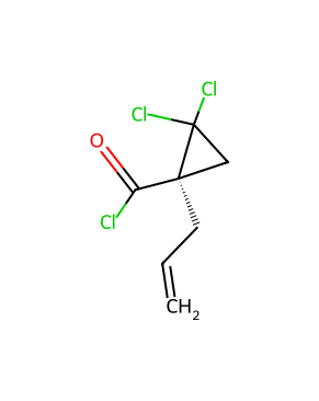 C=CC[C@@]1(C(=O)Cl)CC1(Cl)Cl